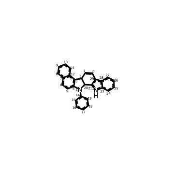 C1=CC2c3c(ccc4ccccc34)N(c3ccccc3)C2c2[nH]c3ccccc3c21